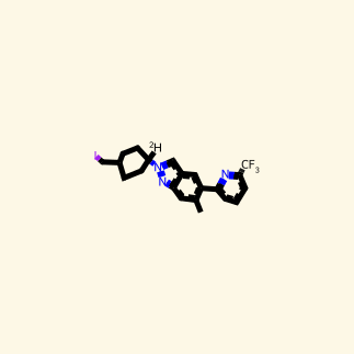 [2H]C1(n2cc3cc(-c4cccc(C(F)(F)F)n4)c(C)cc3n2)CCC(CI)CC1